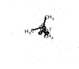 CCCCCCCOc1ccc(C(=O)N(Cc2cccc[n+]2CC)C(=O)c2ccccc2)cc1OCCCCCCC.[I-]